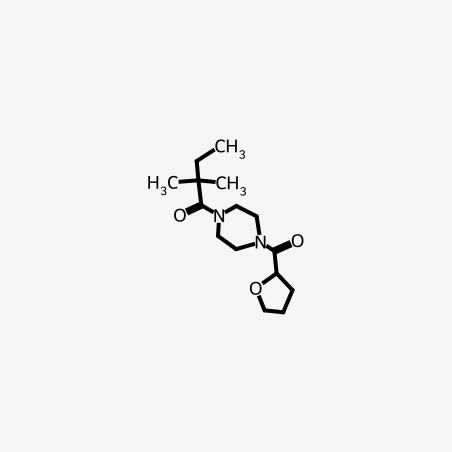 CCC(C)(C)C(=O)N1CCN(C(=O)C2CCCO2)CC1